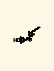 CCCCCCc1c(C)cc(C(=O)C=Cc2cc(C)c(O)c(C)c2)cc1C